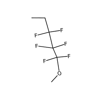 CCC(F)(F)C(F)(F)C(F)(F)OC